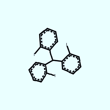 Ic1ccccc1[C](c1ccccc1I)c1ccccc1I